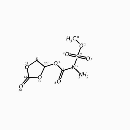 COS(=O)(=O)N(N)C(=O)OC1COC(=O)O1